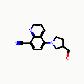 N#Cc1ccc(N2CCC(C=O)C2)c2cccnc12